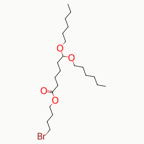 CCCCCCOC(CCCCC(=O)OCCCCBr)OCCCCCC